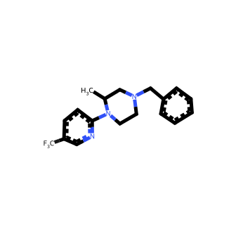 CC1CN(Cc2ccccc2)CCN1c1ccc(C(F)(F)F)cn1